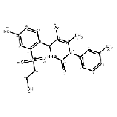 CC(=O)C1=C(C)N(c2cccc(C(F)(F)F)c2)C(=O)NC1c1ccc(C#N)cc1S(=O)(=O)CCO